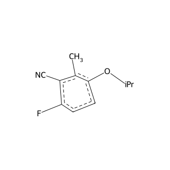 Cc1c(OC(C)C)ccc(F)c1C#N